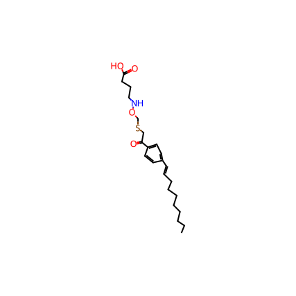 CCCCCCCCC=Cc1ccc(C(=O)CSCONCCCC(=O)O)cc1